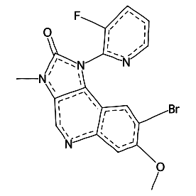 COc1cc2ncc3c(c2cc1Br)n(-c1ncccc1F)c(=O)n3C